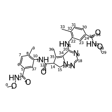 CONC(=O)c1ccc(C)c(NC(=O)C2CN3N=CN=C(Nc4cc(C(=O)NOC)ccc4C)C3=C2C)c1